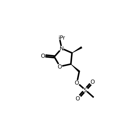 CC(C)N1C(=O)O[C@H](COS(C)(=O)=O)[C@@H]1C